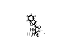 NP(N)(=O)NC(=O)c1cc2ccccc2o1